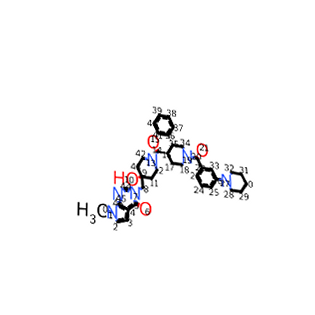 Cn1ccc2c(=O)n(CC3(O)CCN(C(=O)[C@@H]4CCN(C(=O)c5cccc(N6CCCCC6)c5)C[C@H]4c4ccccc4)CC3)cnc21